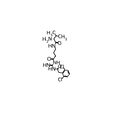 CC(C)[C@@H](N)C(=O)NCCCC(=O)NC(=N)NC(=O)Cc1c(Cl)cccc1Cl